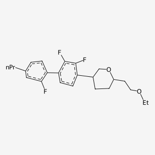 CCCc1ccc(-c2ccc(C3CCC(CCOCC)OC3)c(F)c2F)c(F)c1